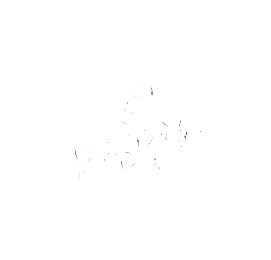 CCN(c1ccccc1[N+](=O)O)c1sc(C(=C2C=CC(=[N+](c3ccccc3)C(C)C)C=C2)c2ccc(N(c3ccccc3)C(C)C)cc2)c(-c2ccccc2)c1C#N